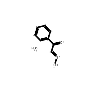 O.O=C(C=NO)c1ccccc1